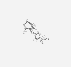 O=S(=O)(Cl)c1ccc(Oc2ccccc2Cl)cc1